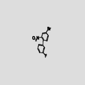 O=[N+]([O-])c1cc(Br)ccc1-c1cccc(F)c1